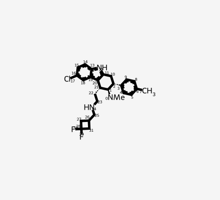 CN[C@@H]1[C@@H](c2ccc(C)cc2)Cc2[nH]c3ccc(Cl)cc3c2[C@H]1CCNCC1CC(F)(F)C1